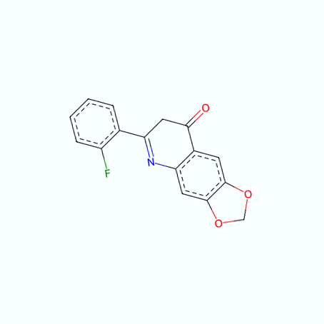 O=C1CC(c2ccccc2F)=Nc2cc3c(cc21)OCO3